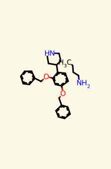 CCCCN.c1ccc(COc2ccc(C3CCNCC3)c(OCc3ccccc3)c2)cc1